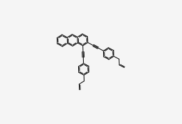 C=CCc1ccc(C#Cc2ccc3cc4ccccc4cc3c2C#Cc2ccc(CC=C)cc2)cc1